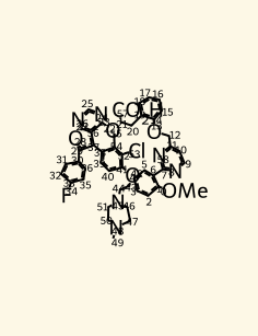 COc1ccccc1-c1nccc(COc2ccccc2C[C@@H](Oc2ncnc3oc(-c4ccc(F)cc4)c(-c4ccc(OCCN5CCN(C)CC5)c(Cl)c4C)c23)C(=O)O)n1